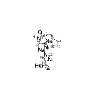 CC[C@@H]1C(=O)N(C)c2cnc(-n3cnc(C(=O)O)c3)nc2N1C1CCCC1